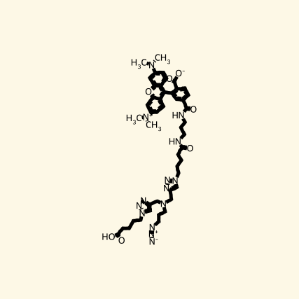 CN(C)c1ccc2c(-c3cc(C(=O)NCCCNC(=O)CCCCn4cc(CN(CCCN=[N+]=[N-])Cc5cn(CCCCC(=O)O)nn5)nn4)ccc3C(=O)[O-])c3ccc(=[N+](C)C)cc-3oc2c1